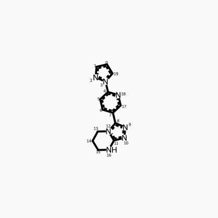 c1cnn(-c2ccc(-c3nnc4n3CCCN4)cn2)c1